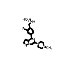 CN1CCN(c2cn3nccc3c(-c3ccc(CNC(=O)O)c(F)c3)n2)CC1